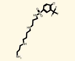 NCCCNCCCCNCCCNS(=O)(=O)c1ccc(Cl)c(C(F)(F)F)c1